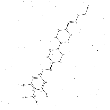 FCCC=C[C@H]1CC[C@H]([C@H]2CC[C@H](CCc3cc(F)c(C(F)F)c(F)c3)CC2)CC1